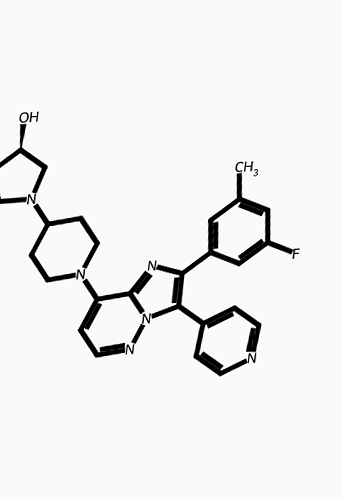 Cc1cc(F)cc(-c2nc3c(N4CCC(N5CC[C@@H](O)C5)CC4)ccnn3c2-c2ccncc2)c1